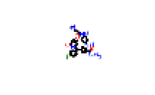 CN(C)CCC(=O)N[C@H]1CC[C@H](Nc2cc(-c3c4n(c5cc(F)ccc35)C(=O)CC(C)(C)C4)ccc2C(N)=O)CC1